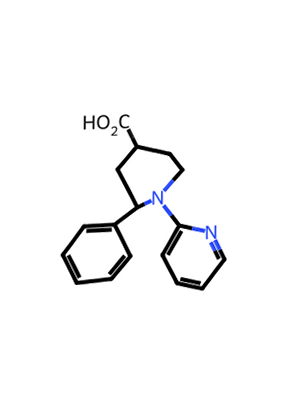 O=C(O)C1CCN(c2ccccn2)C(c2ccccc2)C1